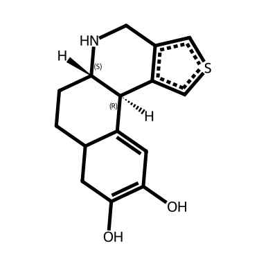 OC1=C(O)CC2CC[C@@H]3NCc4cscc4[C@H]3C2=C1